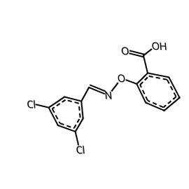 O=C(O)c1ccccc1O/N=C/c1cc(Cl)cc(Cl)c1